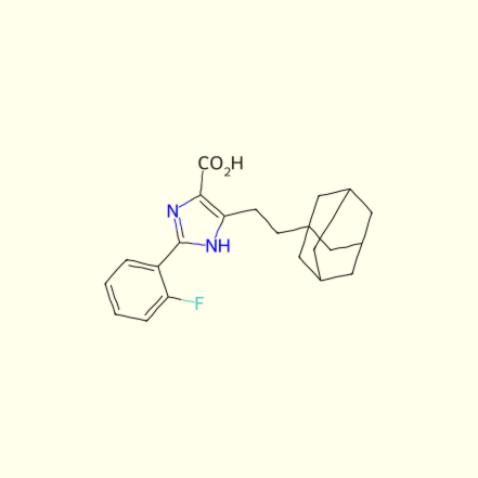 O=C(O)c1nc(-c2ccccc2F)[nH]c1CCC12CC3CC(CC(C3)C1)C2